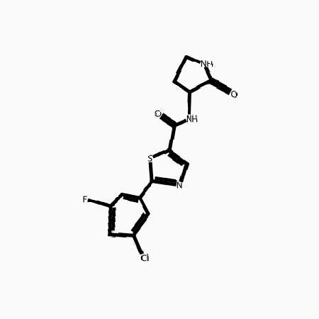 O=C(NC1CCNC1=O)c1cnc(-c2cc(F)cc(Cl)c2)s1